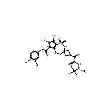 C[C@@H](NC(=O)C(=O)N1CC2(COc3c(c(Cl)n(C)c3C(=O)Nc3ccc(F)c(Cl)c3)S(=O)(=O)N2)C1)C(F)(F)F